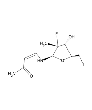 C[C@]1(F)[C@H](N/C=C\C(N)=O)O[C@H](CI)[C@H]1O